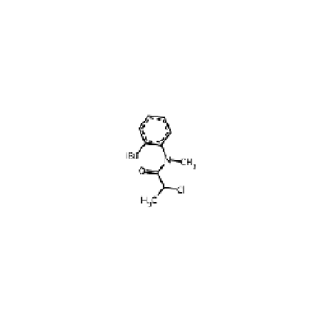 CCC(C)c1ccccc1N(C)C(=O)C(C)Cl